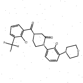 O=C(c1cccc(C(F)(F)F)c1Cl)N1CCN(c2cccc(N3CCOCC3)c2Cl)C(=O)C1